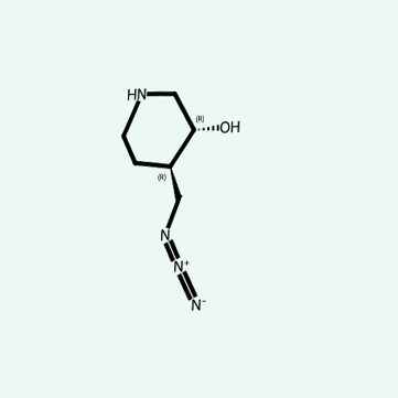 [N-]=[N+]=NC[C@H]1CCNC[C@@H]1O